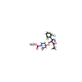 C[C@@H]1C[C@H](OCc2c(-c3c(Cl)cccc3Cl)noc2C2CC2)CCN1C(=O)OC(C)(C)C